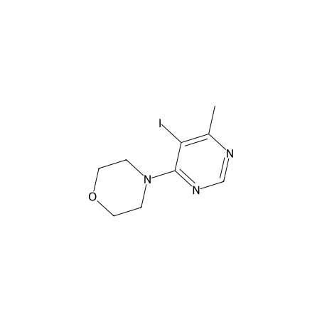 Cc1ncnc(N2CCOCC2)c1I